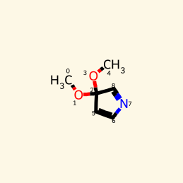 COC1(OC)C=CN=C1